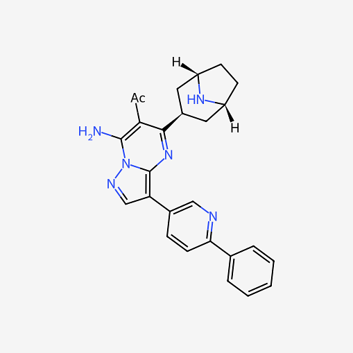 CC(=O)c1c([C@@H]2C[C@H]3CC[C@@H](C2)N3)nc2c(-c3ccc(-c4ccccc4)nc3)cnn2c1N